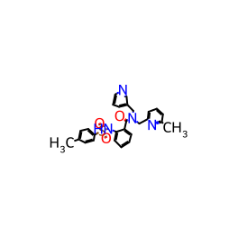 Cc1ccc(S(=O)(=O)Nc2ccccc2C(=O)N(Cc2cccnc2)Cc2cccc(C)n2)cc1